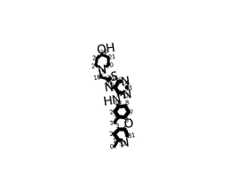 Cc1ccc(Oc2ccc(Nc3ncnc4sc(CN5CCC(O)CC5)nc34)cc2C)cn1